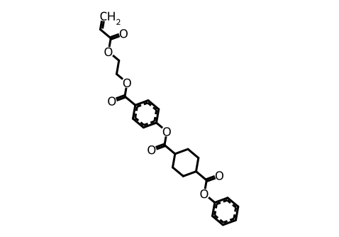 C=CC(=O)OCCOC(=O)c1ccc(OC(=O)C2CCC(C(=O)Oc3ccccc3)CC2)cc1